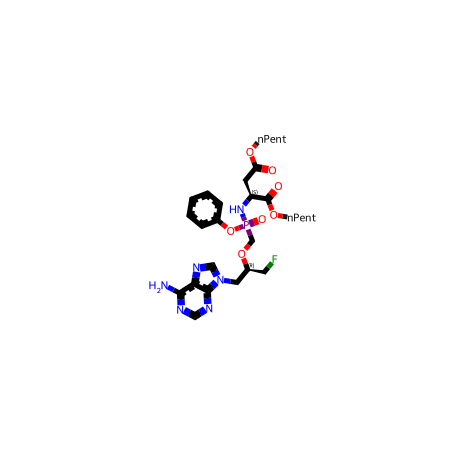 CCCCCOC(=O)C[C@H](NP(=O)(CO[C@@H](CF)Cn1cnc2c(N)ncnc21)Oc1ccccc1)C(=O)OCCCCC